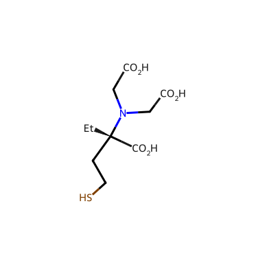 CC[C@](CCS)(C(=O)O)N(CC(=O)O)CC(=O)O